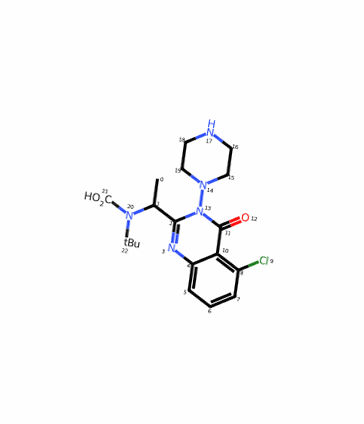 CC(c1nc2cccc(Cl)c2c(=O)n1N1CCNCC1)N(C(=O)O)C(C)(C)C